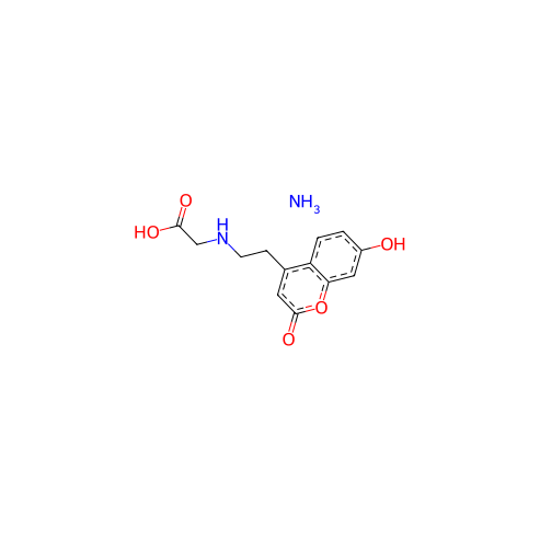 N.O=C(O)CNCCc1cc(=O)oc2cc(O)ccc12